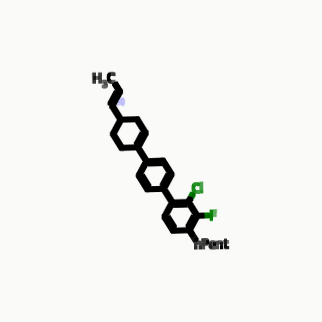 C/C=C/C1CC=C(c2ccc(-c3ccc(CCCCC)c(F)c3Cl)cc2)CC1